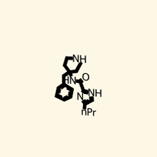 CCCc1c[nH]c(C(=O)NC2(Cc3ccccc3)CCNCC2)n1